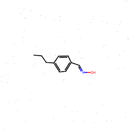 CCCc1ccc(/C=N/O)cc1